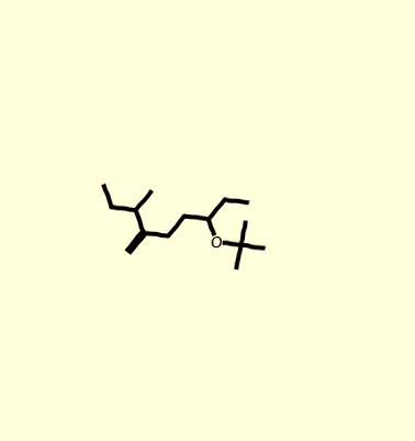 C=C(CCC(CC)OC(C)(C)C)C(C)CC